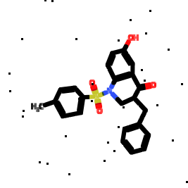 Cc1ccc(S(=O)(=O)N2CC(Cc3ccccc3)C(=O)c3cc(O)ccc32)cc1